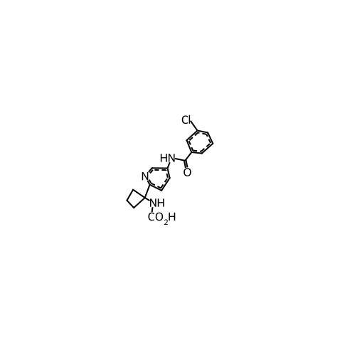 O=C(O)NC1(c2ccc(NC(=O)c3cccc(Cl)c3)cn2)CCC1